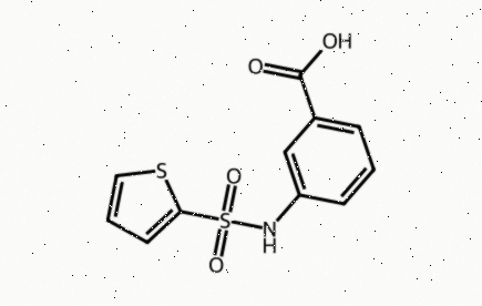 O=C(O)c1cccc(NS(=O)(=O)c2cccs2)c1